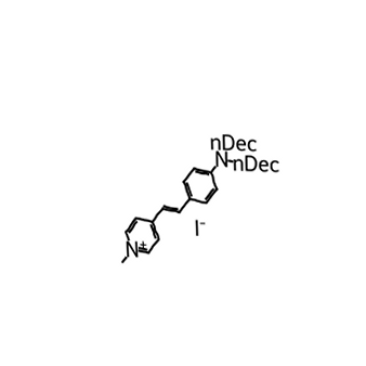 CCCCCCCCCCN(CCCCCCCCCC)c1ccc(/C=C/c2cc[n+](C)cc2)cc1.[I-]